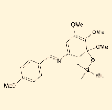 COC1=C(OC)C(OC)(O[Si](C)(C)C(C)(C)C)CC(N=Cc2ccc(OC)cc2)=C1